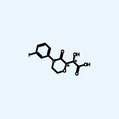 O=C(O)[C@H](O)[C@H]1OCCN(c2cccc(I)c2)C1=O